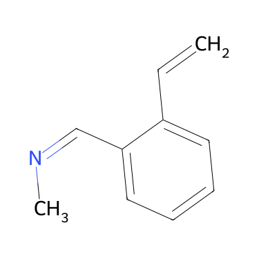 C=Cc1ccccc1/C=N\C